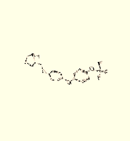 FC(F)(F)Oc1ccc(Oc2ccc(OC[C@H]3CCCN3)cc2)cc1